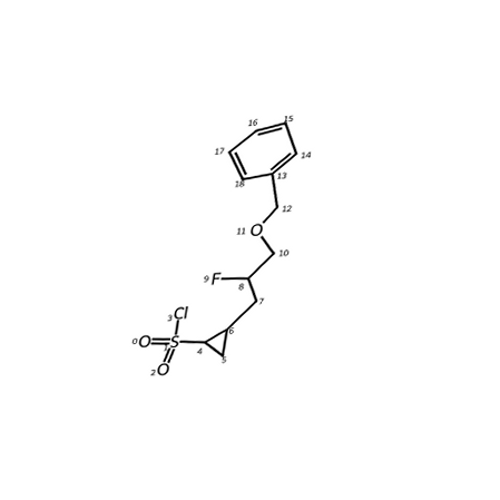 O=S(=O)(Cl)C1CC1CC(F)COCc1ccccc1